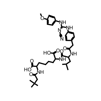 COc1ccc(NC(=NC#N)Nc2ccc(CC(=O)NC(CC(C)C)C(=O)NC(CCCCC(NC(=O)CC(C)(C)C)C(=O)O)C(=O)O)cc2)cc1